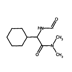 CN(C)C(=O)C(N[C]=O)C1CCCCC1